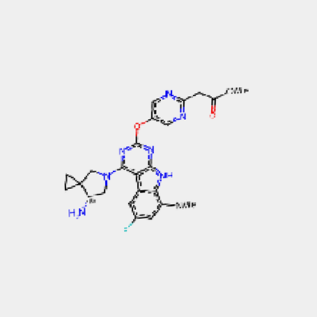 CNc1cc(F)cc2c1[nH]c1nc(Oc3cnc(CC(=O)OC)nc3)nc(N3C[C@H](N)C4(CC4)C3)c12